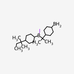 BC1CCC(C(C)(C)B(I)C2CCC(C(C)(C)CC)CC2)CC1